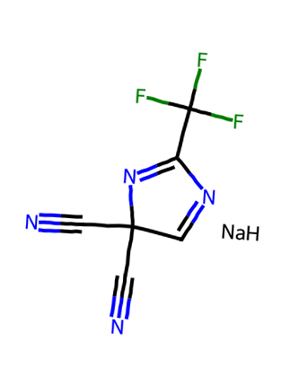 N#CC1(C#N)C=NC(C(F)(F)F)=N1.[NaH]